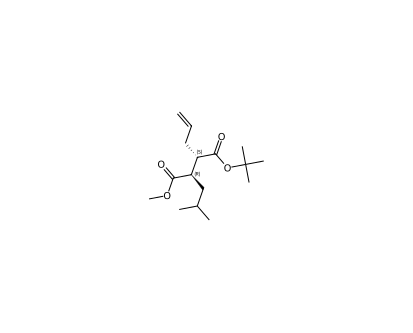 C=CC[C@H](C(=O)OC(C)(C)C)[C@@H](CC(C)C)C(=O)OC